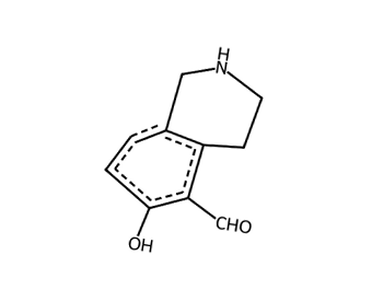 O=Cc1c(O)ccc2c1CCNC2